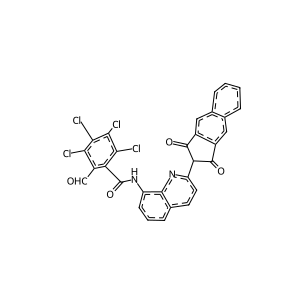 O=Cc1c(Cl)c(Cl)c(Cl)c(Cl)c1C(=O)Nc1cccc2ccc(C3C(=O)c4cc5ccccc5cc4C3=O)nc12